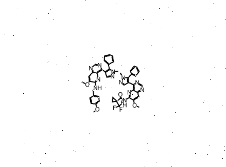 COc1cc2ncnc(-c3cnn(C)c3-c3ccccc3)c2nc1NC(=O)C1(C(F)(F)F)CC1.COc1ccc(CNc2nc3c(-c4cnn(C)c4-c4ccccc4)ncnc3cc2OC)cc1